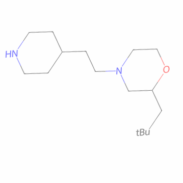 CC(C)(C)CC1CN(CCC2CCNCC2)CCO1